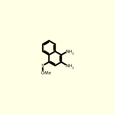 COSc1cc(N)c(N)c2ccccc12